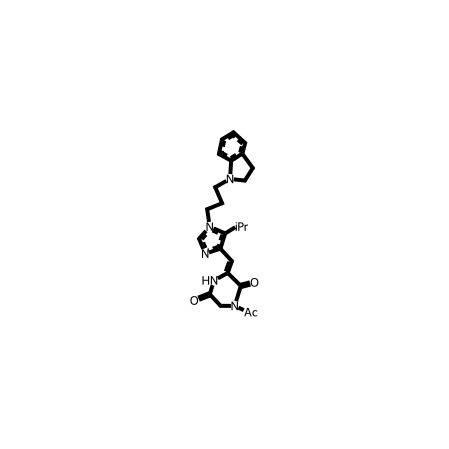 CC(=O)N1CC(=O)N/C(=C\c2ncn(CCCN3CCc4ccccc43)c2C(C)C)C1=O